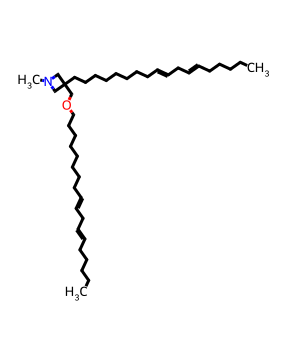 CCCCCC=CCC=CCCCCCCCCOCC1(CCCCCCCCC=CCC=CCCCCC)CN(C)C1